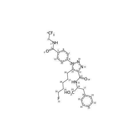 O=C(NCC(F)(F)F)c1ccc(-n2nnc(C(=O)NC(Cc3ccccc3)C(=O)O)c2CCCCCF)cc1